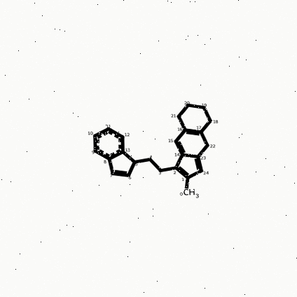 CC1=C(CCC2C=Cc3ccccc32)C2=CC3=C(CCCC3)CC2=C1